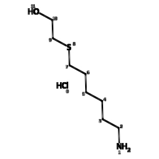 Cl.NCCCCCCSCCO